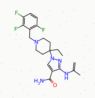 C=C(C)Nc1nn(C2(CC)CCN(Cc3c(F)ccc(F)c3F)CC2)cc1C(N)=O